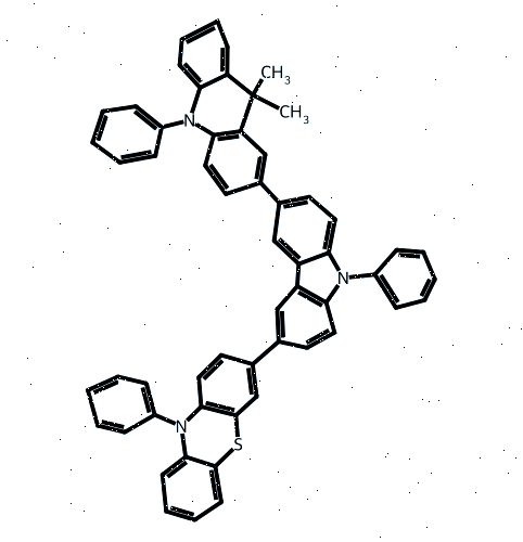 CC1(C)c2ccccc2N(c2ccccc2)c2ccc(-c3ccc4c(c3)c3cc(-c5ccc6c(c5)Sc5ccccc5N6c5ccccc5)ccc3n4-c3ccccc3)cc21